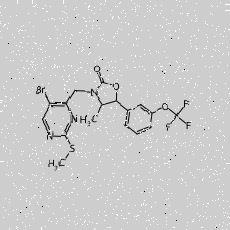 CSc1ncc(Br)c(CN2C(=O)OC(c3cccc(OC(F)(F)F)c3)C2C)n1